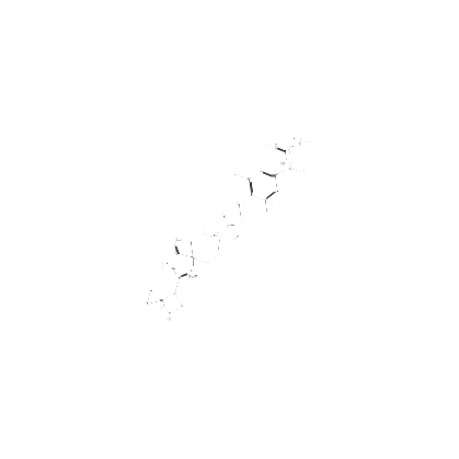 Cc1cc(N(C)C(N)=O)cc(C)c1CCS(=O)(=O)N1CCC2(CC1)N=C(C1CCC13CC3)NC2=O